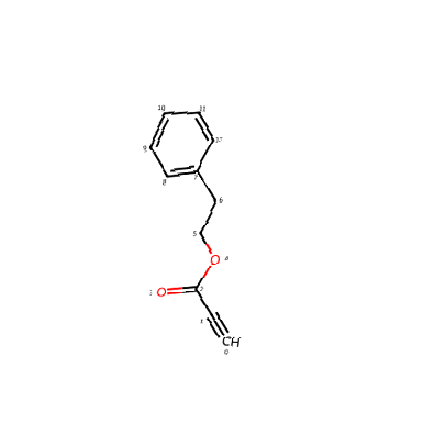 C#CC(=O)OCCc1ccccc1